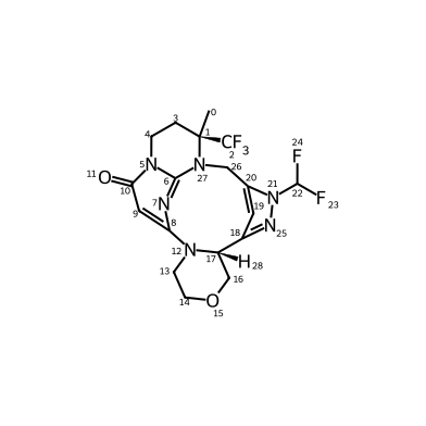 C[C@@]1(C(F)(F)F)CCn2c3nc(cc2=O)N2CCOC[C@H]2c2cc(n(C(F)F)n2)CN31